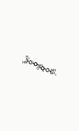 Cc1cc(C(=O)Nc2ccc(N3CCN(C(=N)N)CC3)cc2)ccc1N1CCN(C(=N)N)CC1